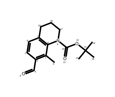 Cc1c(C=O)ccc2c1N(C(=O)OC(C)(C)C)CCC2